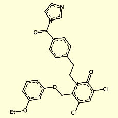 CCOc1cccc(OCc2c(Cl)cc(Cl)c(=O)n2CCc2ccc(C(=O)n3ccnc3)cc2)c1